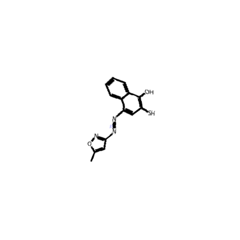 Cc1cc(/N=N/c2cc(S)c(O)c3ccccc23)no1